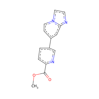 COC(=O)c1ccc(-c2ccn3ccnc3c2)cn1